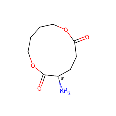 N[C@H]1CCC(=O)OCCCCOC1=O